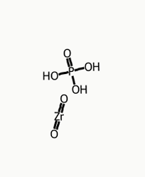 O=P(O)(O)O.[O]=[Zr]=[O]